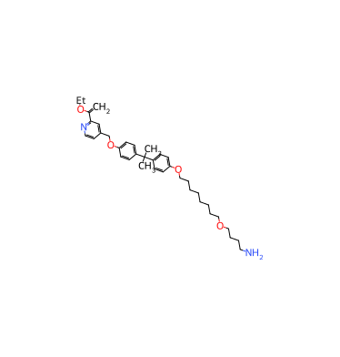 C=C(OCC)c1cc(COc2ccc(C(C)(C)c3ccc(OCCCCCCCCOCCCCN)cc3)cc2)ccn1